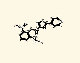 COc1cccc([N+](=O)[O-])c1CNc1csc(-c2ccncc2)n1